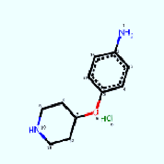 Cl.Nc1ccc(OC2CCNCC2)cc1